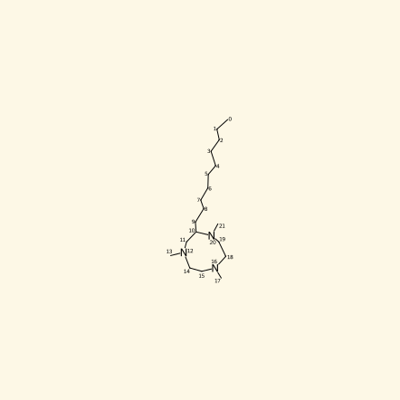 CCCCCCCCCCC1CN(C)CCN(C)CCN1C